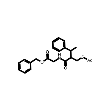 CC(=O)SCC(C(=O)NCC(=O)OCc1ccccc1)C(C)c1ccccc1